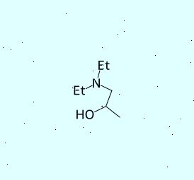 CCN(CC)C[C](C)O